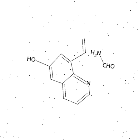 C=Cc1cc(O)cc2cccnc12.NC=O